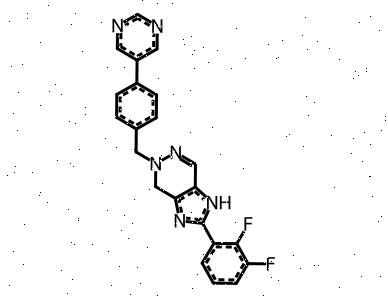 Fc1cccc(-c2nc3c([nH]2)C=NN(Cc2ccc(-c4cncnc4)cc2)C3)c1F